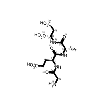 CC(C)[C@H](NC(=O)[C@H](CCC(=O)O)NC(=O)CN)C(=O)N[C@@H](CC(=O)O)C(=O)O